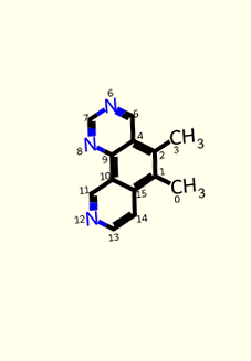 Cc1c(C)c2cncnc2c2cnccc12